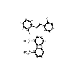 Cc1ccccc1C=Cc1ccccc1C.O=C(O)c1ccccc1.O=C(O)c1ccccc1